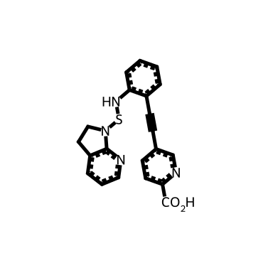 O=C(O)c1ccc(C#Cc2ccccc2NSN2CCc3cccnc32)cn1